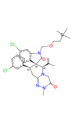 C=C(C)[C@H]1N2CC(=O)N(C)N=C2C[C@@H](c2cccc(Cl)c2)[C@]12C(=O)N(COCC[Si](C)(C)C)c1cc(Cl)ccc12